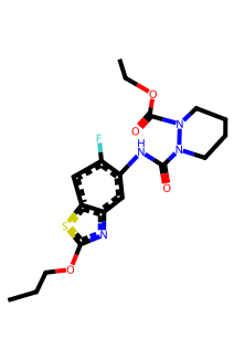 CCCOc1nc2cc(NC(=O)N3CCCCN3C(=O)OCC)c(F)cc2s1